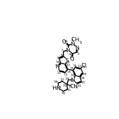 Cn1ncc(=O)n(Cc2cc3nccc(-c4cc(Cl)cc5ccn(CC6(C#N)CCNCC6)c45)c3s2)c1=O